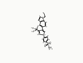 CCn1ccc2cc(-c3cn(-c4ccc(S(N)(=O)=O)cc4)nc3C(F)(F)F)ccc21